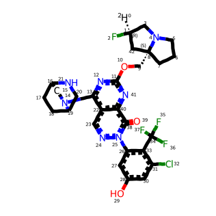 [2H][C@]1(F)CN2CCC[C@@]2(COc2nc(N3CC4CCC3CN4)c3cnn(-c4cc(O)cc(Cl)c4C(F)(F)F)c(=O)c3n2)C1